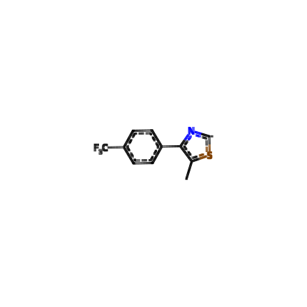 Cc1s[c]nc1-c1ccc(C(F)(F)F)cc1